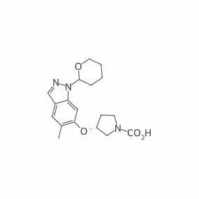 Cc1cc2cnn(C3CCCCO3)c2cc1O[C@@H]1CCN(C(=O)O)C1